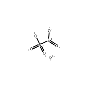 O=S([O-])S(=O)(=O)[O-].[S+2]